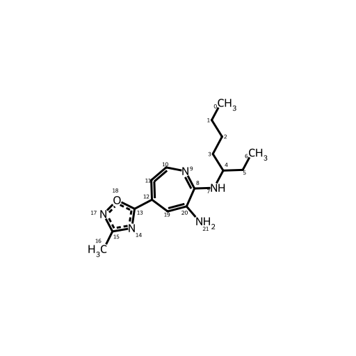 CCCCC(CC)NC1=NC=C=C(c2nc(C)no2)C=C1N